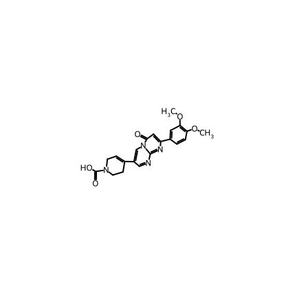 COc1ccc(-c2cc(=O)n3cc(C4=CCN(C(=O)O)CC4)cnc3n2)cc1OC